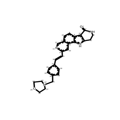 O=C1NCCc2[nH]c3c(ccc4cnc(C=Cc5ccc(CN6CCOCC6)cc5)cc43)c21